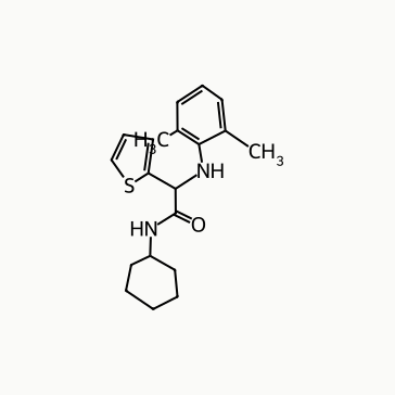 Cc1cccc(C)c1NC(C(=O)NC1CCCCC1)c1cccs1